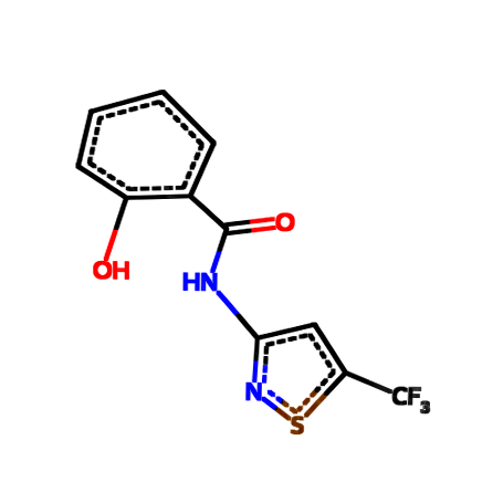 O=C(Nc1cc(C(F)(F)F)sn1)c1ccccc1O